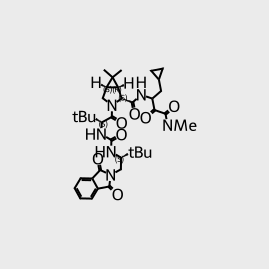 CNC(=O)C(=O)C(CC1CC1)NC(=O)[C@@H]1[C@@H]2[C@H](CN1C(=O)[C@@H](NC(=O)N[C@H](CN1C(=O)c3ccccc3C1=O)C(C)(C)C)C(C)(C)C)C2(C)C